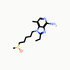 CCc1nc2c(N)ncc(C)c2n1CCCCC[S+](C)[O-]